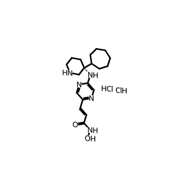 Cl.Cl.O=C(/C=C/c1cnc(N[C@@]2(C3CCCCCC3)CCCNC2)cn1)NO